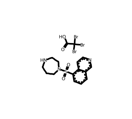 O=C(O)C(Br)(Br)Br.O=S(=O)(c1cccc2cnccc12)N1CCCNCC1